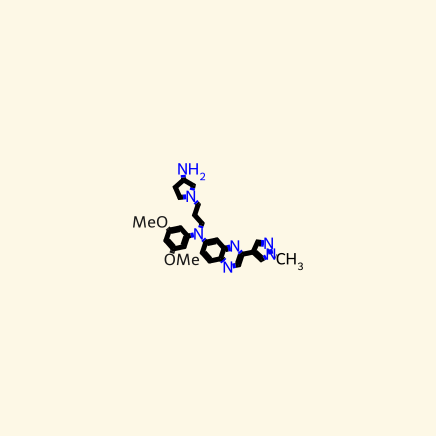 COc1cc(OC)cc(N(CCCN2CCC(N)C2)c2ccc3ncc(-c4cnn(C)c4)nc3c2)c1